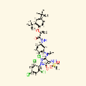 CCC(Oc1ccc(C(C)(C)CC)cc1C(C)(C)CC)C(=O)Nc1ccc(Cl)c(N(C(C)=O)C2=NN(c3c(Cl)cc(Cl)cc3Cl)C(=O)C2NS(=O)(=O)CC)c1